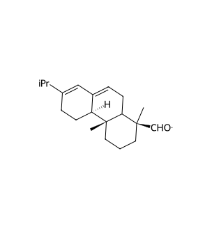 CC(C)C1=CC2=CCC3[C@@](C)([C]=O)CCC[C@]3(C)[C@H]2CC1